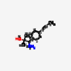 CC#Cc1ccc([C@@H](N)C(C)(C)O)cc1